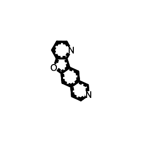 c1cnc2c(c1)oc1cc3ccncc3cc12